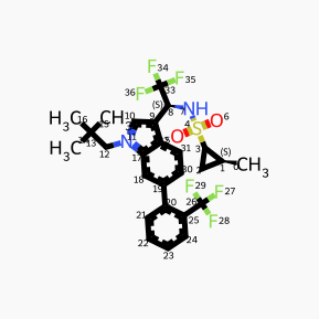 C[C@H]1CC1S(=O)(=O)N[C@@H](c1cn(CC(C)(C)C)c2cc(-c3ccccc3C(F)(F)F)ccc12)C(F)(F)F